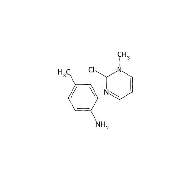 CN1C=CC=NC1Cl.Cc1ccc(N)cc1